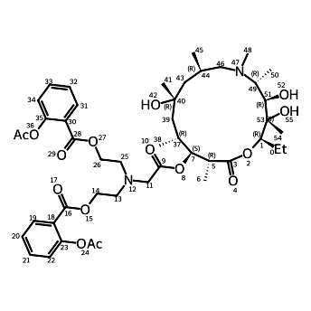 CC[C@H]1OC(=O)[C@H](C)[C@@H](OC(=O)CN(CCOC(=O)c2ccccc2OC(C)=O)CCOC(=O)c2ccccc2OC(C)=O)[C@H](C)C[C@](C)(O)C[C@@H](C)CN(C)[C@H](C)[C@@H](O)[C@]1(C)O